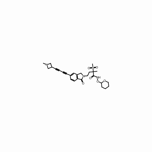 CN1CC(C#CC#Cc2ccc3c(c2)CN(CCC(C)(C(=O)NOC2CCCCO2)S(C)(=O)=O)C3=O)C1